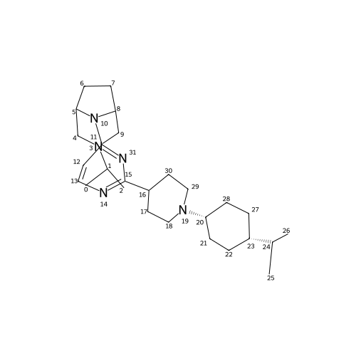 CC(C)N1CC2CCC(C1)N2c1ccnc(C2CCN([C@H]3CC[C@@H](C(C)C)CC3)CC2)n1